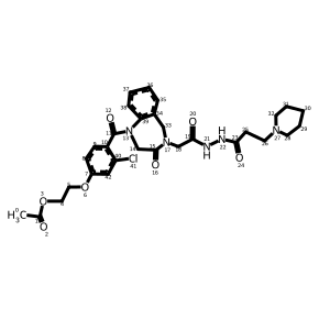 CC(=O)OCCOc1ccc(C(=O)N2CC(=O)N(CC(=O)NNC(=O)CCN3CCCCC3)Cc3ccccc32)c(Cl)c1